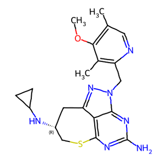 COc1c(C)cnc(Cn2nc3c4c(nc(N)nc42)SC[C@H](NC2CC2)C3)c1C